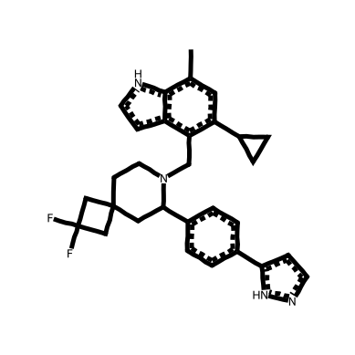 Cc1cc(C2CC2)c(CN2CCC3(CC2c2ccc(-c4ccn[nH]4)cc2)CC(F)(F)C3)c2cc[nH]c12